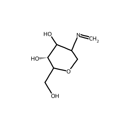 C=NC1COC(CO)[C@H](O)C1O